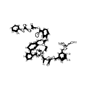 CCOc1nc2cccc(C(=O)OC(C)OC(=O)OC3CCCCC3)c2n1Cc1ccc(-c2ccccc2-c2nnn(C(C)OC(=O)OCc3cccc(CON(O)O)c3)n2)cc1